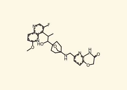 COc1ccc2ncc(F)c(C(C)C(O)C34CCC(NCc5ccc6c(n5)NC(=O)CO6)(CC3)CO4)c2n1